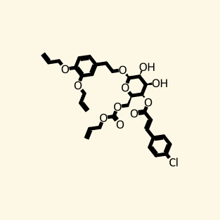 C=CCOC(=O)OC[C@H]1O[C@@H](OCCc2ccc(OCC=C)c(OCC=C)c2)[C@H](O)[C@@H](O)[C@@H]1OC(=O)C=Cc1ccc(Cl)cc1